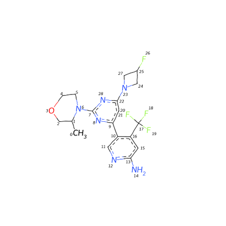 CC1COCCN1c1nc(-c2cnc(N)cc2C(F)(F)F)cc(N2CC(F)C2)n1